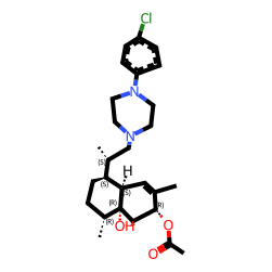 CC(=O)O[C@@H]1[C][C@@]2(O)[C@H](C)CC[C@@H]([C@H](C)CN3CCN(c4ccc(Cl)cc4)CC3)[C@H]2C=C1C